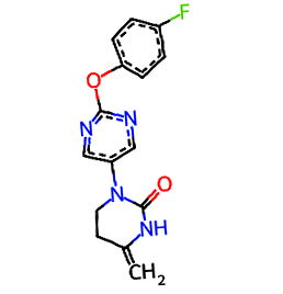 C=C1CCN(c2cnc(Oc3ccc(F)cc3)nc2)C(=O)N1